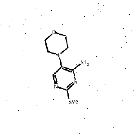 CSc1ncc(N2CCOCC2)c(N)n1